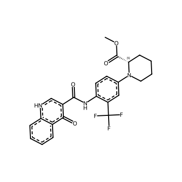 COC(=O)[C@@H]1CCCCN1c1ccc(NC(=O)c2c[nH]c3ccccc3c2=O)c(C(F)(F)F)c1